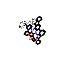 CC(C)(C)c1ccc(N2c3ccc4oc5ccccc5c4c3B3c4c(cc5c(c42)C(C)(C)c2ccccc2-5)-c2cccc4c5c6ccccc6sc5n3c24)c(-c2ccccc2)c1